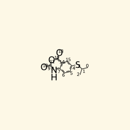 CC(C)Sc1ccc2[nH]c(=O)oc(=O)c2c1